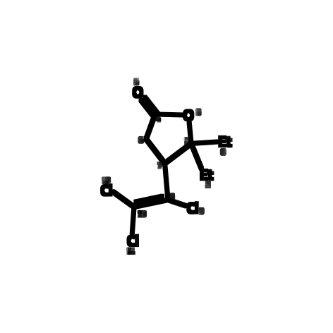 CCC1(CC)OC(=O)CC1C(Cl)=C(Cl)Cl